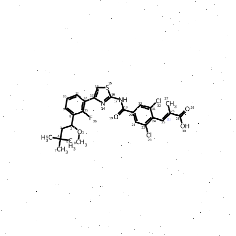 COC(CC(C)(C)C)c1cccc(-c2csc(NC(=O)c3cc(Cl)c(/C=C(\C)C(=O)O)c(Cl)c3)n2)c1F